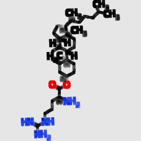 CC(C)CCC[C@@H](C)[C@H]1CC[C@H]2[C@@H]3CC=C4C[C@@H](OC(=O)[C@@H](N)CCCNC(=N)N)CC[C@]4(C)[C@H]3CC[C@]12C